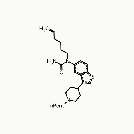 C=CCCCCN(C(N)=O)c1ccc2scc(C3CCN(CCCCC)CC3)c2c1